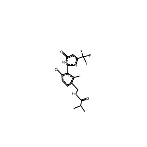 CC(C)C(=O)NCc1ccc(Cl)c(-c2nc(C(F)(F)F)cc(=O)[nH]2)c1F